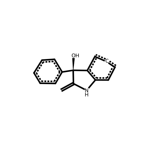 C=C1Nc2ccccc2[C@@]1(O)c1ccccc1